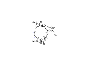 COc1cc2cc(c1Cl)N(C)C(=O)C[C@@H](OC(=O)[C@H](C)N(C)C(=O)CCS)[C@]1(C)CC1[C@H](C)[C@@H]1C[C@@](O)(NC(=O)O1)[C@H](OC)/C=C\C=C(/C)C2